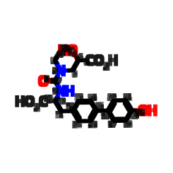 CC(C)CN(CC(O)C(=O)O)C(=O)N[C@@H](Cc1ccc(-c2ccc(O)cc2)cc1)C(=O)O